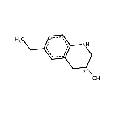 CCc1ccc2c(c1)C[C@@H](O)CN2